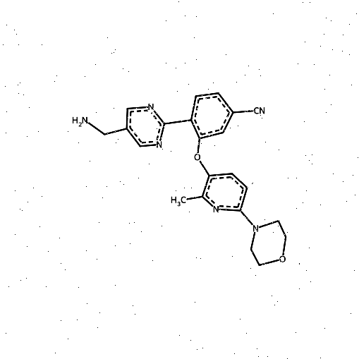 Cc1nc(N2CCOCC2)ccc1Oc1cc(C#N)ccc1-c1ncc(CN)cn1